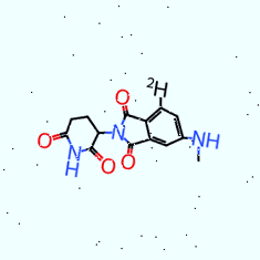 [2H]c1cc(NC)cc2c1C(=O)N(C1CCC(=O)NC1=O)C2=O